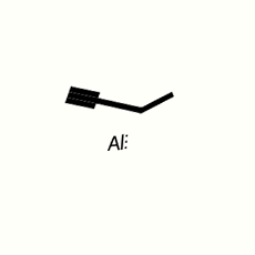 C#CCC.[Al]